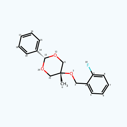 C[C@]1(OCc2ccccc2F)CO[C@@H](c2ccccc2)OC1